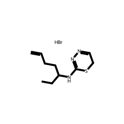 Br.C=CCCC(CC)NC1=NN=CCS1